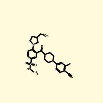 CNS(=O)(=O)c1ccc(N2CCC(CO)C2)c(C(=O)N2CCN(c3ccc(C#N)c(F)c3)CC2)c1